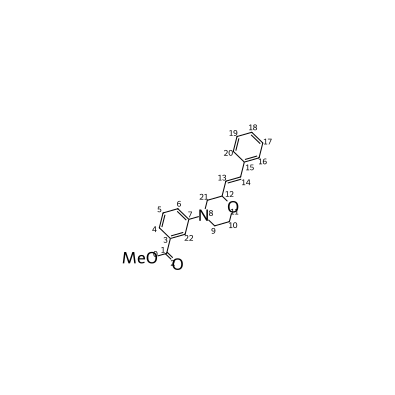 COC(=O)c1cccc(N2CCOC(/C=C/c3ccccc3)C2)c1